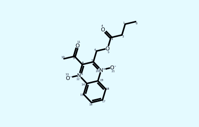 CCCC(=O)OCc1c(C(C)=O)[n+]([O-])c2ccccc2[n+]1[O-]